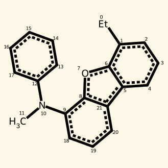 CCc1cccc2c1oc1c(N(C)c3ccccc3)cccc12